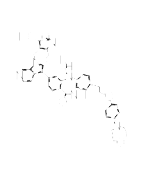 Cc1noc(C)c1Cn1cc(-c2ccc3c(c2)Nc2ccc(CCOc4ccc(N5CCOCC5)cc4)cc2NC3=O)c2ccncc21